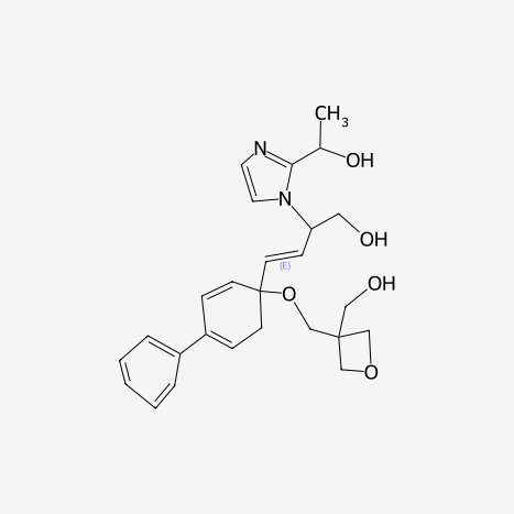 CC(O)c1nccn1C(/C=C/C1(OCC2(CO)COC2)C=CC(c2ccccc2)=CC1)CO